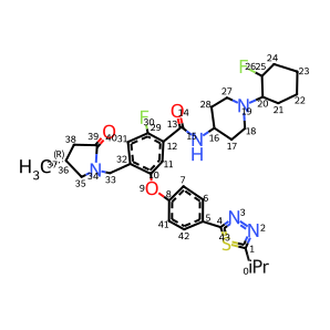 CC(C)c1nnc(-c2ccc(Oc3cc(C(=O)NC4CCN(C5CCCCC5F)CC4)c(F)cc3CN3C[C@H](C)CC3=O)cc2)s1